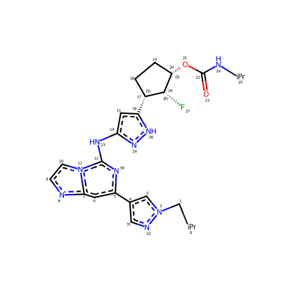 CC(C)Cn1cc(-c2cc3nccn3c(Nc3cc([C@@H]4CC[C@H](OC(=O)NC(C)C)[C@@H]4F)[nH]n3)n2)cn1